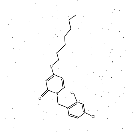 CCCCCCCOc1ccn(Cc2ccc(Cl)cc2Cl)c(=O)c1